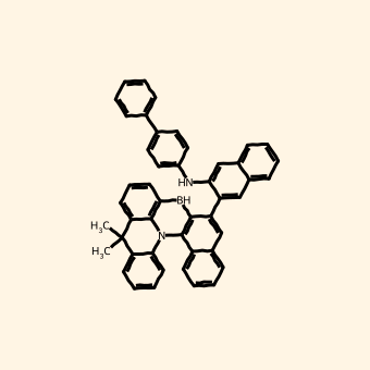 CC1(C)c2ccccc2N2c3c(cccc31)Bc1c(-c3cc4ccccc4cc3Nc3ccc(-c4ccccc4)cc3)cc3ccccc3c12